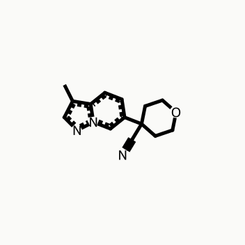 Cc1cnn2cc(C3(C#N)CCOCC3)ccc12